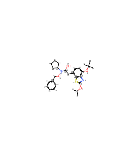 CC(C)Oc1nc2c(OC(C)(C)C)ccc(C[C@H](O)N(OCc3ccccc3)C3CCCC3)c2s1